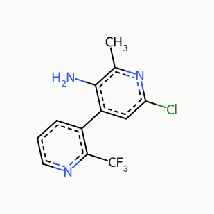 Cc1nc(Cl)cc(-c2cccnc2C(F)(F)F)c1N